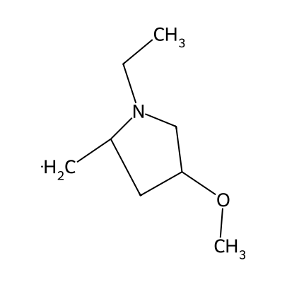 [CH2]C1CC(OC)CN1CC